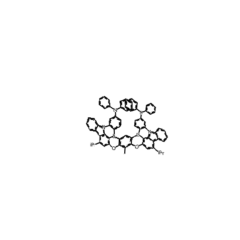 Cc1c2c(cc3c1Oc1cc(C(C)C)c4c5ccccc5n5c4c1B3c1ccc(N(c3ccccc3)c3ccccc3)cc1-5)B1c3ccc(N(c4ccccc4)c4ccccc4)cc3-n3c4ccccc4c4c(C(C)C)cc(c1c43)O2